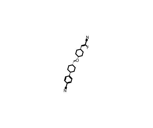 N#CC(F)=C[C@H]1CC[C@H](OC[C@H]2CC[C@H](c3ccc(C#N)cc3)CC2)CC1